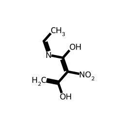 C=C(O)/C(=C(O)\N=C/C)[N+](=O)[O-]